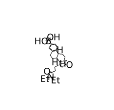 CCN(CC)C(=O)CC[C@@H]1CC(=O)[C@@]2(C)CC[C@@H]3c4ccc(B(O)O)cc4CC[C@H]3[C@H]12